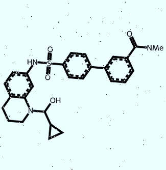 CNC(=O)c1cccc(-c2ccc(S(=O)(=O)Nc3ccc4c(c3)N(C(O)C3CC3)CCC4)cc2)c1